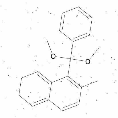 COC(OC)(c1ccccc1)c1c(C)ccc2c1=CCCC=2